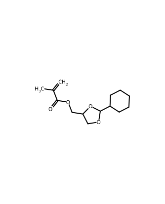 C=C(C)C(=O)OCC1COC(C2CCCCC2)O1